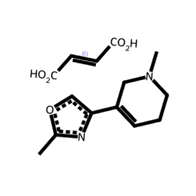 Cc1nc(C2=CCCN(C)C2)co1.O=C(O)/C=C/C(=O)O